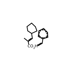 C=Cc1ccccc1.CC(=CC1CCCCC1)C(=O)O